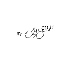 CC(C)C1=CC2=CCC3[C@](C)(CCC[C@]3(C)C(=O)O)[C@@H]2CC1